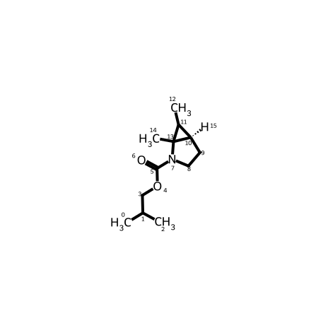 CC(C)COC(=O)N1CC[C@@H]2C(C)C21C